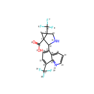 O=C(O)C12CC1(C(F)(F)F)CNC2c1ccc(C(F)(F)F)c2ncccc12